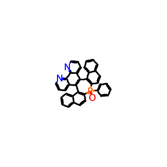 O=P1(c2ccccc2)c2ccc3ccccc3c2-c2c(c3cccnc3c3ncccc23)-c2c1ccc1ccccc21